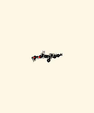 COc1ccc(COc2ccc(C3Oc4cc5c(cc4NC3=O)CC(C(=O)N[C@@H](Cc3ccc(-c4ccc(C#N)cc4)cc3)C(=O)O)N(C(=O)c3ccccc3)C5)cc2)cc1C(F)(F)F